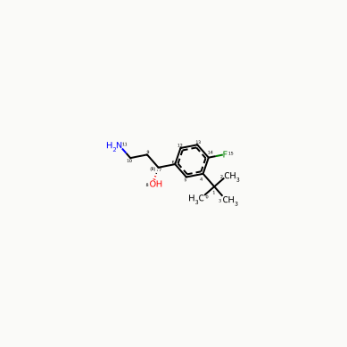 CC(C)(C)c1cc([C@H](O)CCN)ccc1F